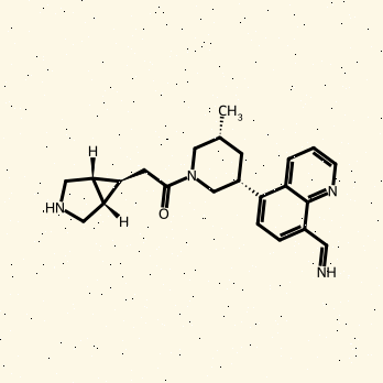 C[C@@H]1C[C@H](c2ccc(C=N)c3ncccc23)CN(C(=O)C[C@H]2[C@@H]3CNC[C@@H]32)C1